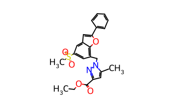 CCOC(=O)c1cc(C)n(Cc2cc(S(C)(=O)=O)cc3cc(-c4ccccc4)oc23)n1